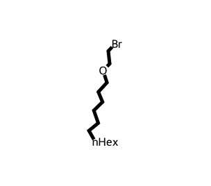 CCCCCCCCCCCCOCCBr